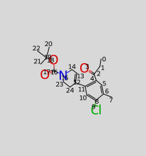 CCC(=O)c1cc(C)c(Cl)cc1C1=CCN(C(=O)OC(C)(C)C)CC1